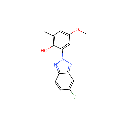 [CH2]c1cc(OC)cc(-n2nc3ccc(Cl)cc3n2)c1O